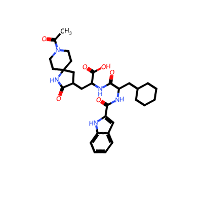 CC(=O)N1CCC2(CC1)CC(CC(NC(=O)C(CC1CCCCC1)NC(=O)c1cc3ccccc3[nH]1)C(=O)O)C(=O)N2